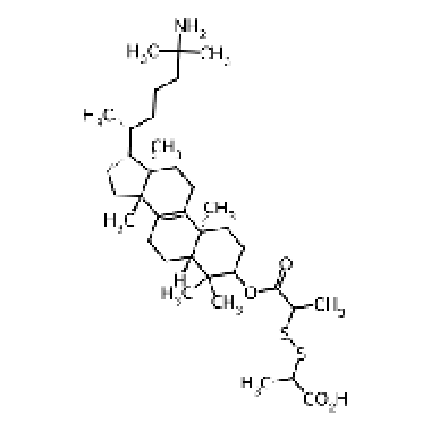 CC(SSC(C)C(=O)OC1CC[C@]2(C)C3=C(CC[C@H]2C1(C)C)[C@]1(C)CC[C@H]([C@H](C)CCCC(C)(C)N)[C@@]1(C)CC3)C(=O)O